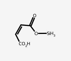 O=C(O)/C=C\C(=O)O[SiH3]